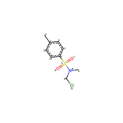 Cc1ccc(S(=O)(=O)N(C)CCl)cc1